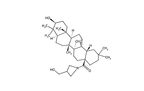 CC1(C)CC[C@]2(C(=O)N3CC(CO)C3)CC[C@]3(C)C(=CC[C@@H]4[C@@]5(C)CC[C@H](O)C(C)(C)[C@@H]5CC[C@]43C)[C@@H]2C1